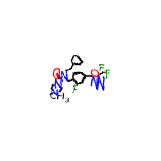 CN1CCN(C(=O)N(CCc2ccccc2)Cc2ccc(-c3nnc(C(F)F)o3)cc2F)CC1